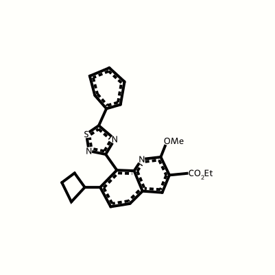 CCOC(=O)c1cc2ccc(C3CCC3)c(-c3nsc(-c4ccccc4)n3)c2nc1OC